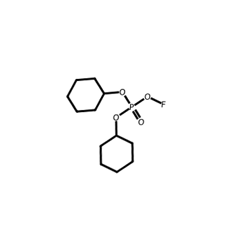 O=P(OF)(OC1CCCCC1)OC1CCCCC1